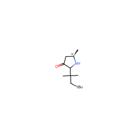 C[C@@H]1CC(=O)C(C(C)(C)CC(C)(C)C)N1